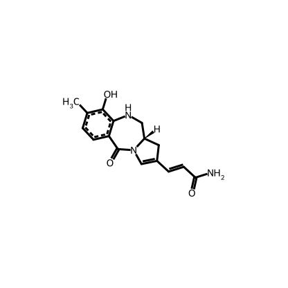 Cc1ccc2c(c1O)NC[C@@H]1CC(/C=C/C(N)=O)=CN1C2=O